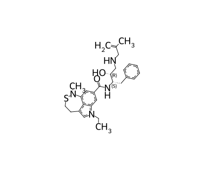 C=C(C)CNC[C@@H](O)[C@H](Cc1ccccc1)NC(=O)c1cc2c3c(cn(CC)c3c1)CCSN2C